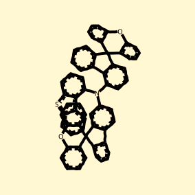 c1ccc2c(c1)Oc1ccccc1C21c2ccccc2-c2ccc(N(c3cccc4c3-c3ccccc3C43c4ccccc4Oc4ccccc43)c3cccc4sc5ccccc5c34)cc21